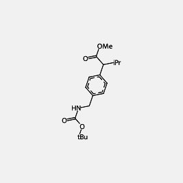 COC(=O)C(c1ccc(CNC(=O)OC(C)(C)C)cc1)C(C)C